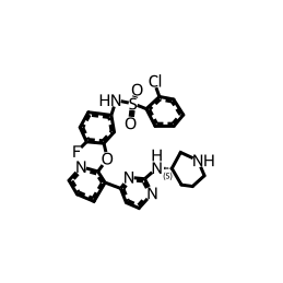 O=S(=O)(Nc1ccc(F)c(Oc2ncccc2-c2ccnc(N[C@H]3CCCNC3)n2)c1)c1ccccc1Cl